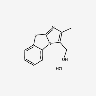 Cc1nc2sc3ccccc3n2c1CO.Cl